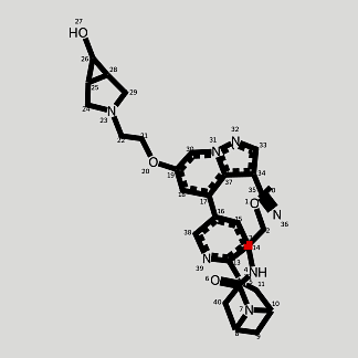 COCCNC(=O)N1C2CC1CN(c1ccc(-c3cc(OCCN4CC5C(O)C5C4)cn4ncc(C#N)c34)cn1)C2